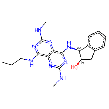 CCCNc1nc(NC)nc2c(N[C@H]3c4ccccc4C[C@H]3O)nc(NC)nc12